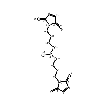 C=C1C=CC(=O)N1CCCOP(Cl)OCCCN1C(=O)C=CC1=O